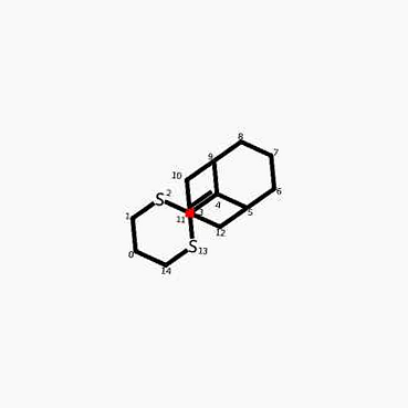 C1CSC(=C2C3CCCC2CCC3)SC1